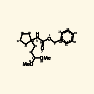 COC(CCC1(NC(=O)OCc2ccccc2)CCCC1)OC